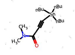 CCC[CH2][Sn]([C]#CC(=O)N(C)C)([CH2]CCC)[CH2]CCC